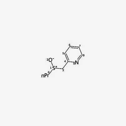 CCC[S+]([O-])Cc1ccccn1